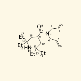 C=CCN(CC=C)C(=O)C1CC(CC)(CC)NC(CC)(CC)C1